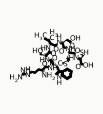 CC[C@H](C)[C@H](NC(=O)[C@H](CO)NC(=O)[C@H](Cc1c[nH]c2ccccc12)NC(=O)[C@@H](N)CCCNC(=N)N)C(=O)N[C@@H](CC(=O)O)C(=O)N[C@@H](CCSC)C(=O)N[C@@H](CS)C(=O)O